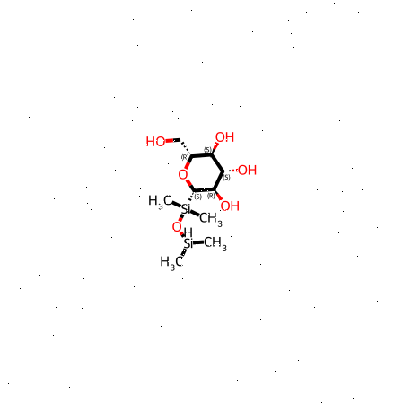 C[SiH](C)O[Si](C)(C)[C@@H]1O[C@H](CO)[C@@H](O)[C@H](O)[C@H]1O